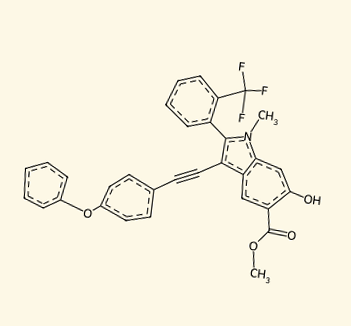 COC(=O)c1cc2c(C#Cc3ccc(Oc4ccccc4)cc3)c(-c3ccccc3C(F)(F)F)n(C)c2cc1O